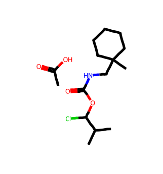 CC(=O)O.CC(C)C(Cl)OC(=O)NCC1(C)CCCCC1